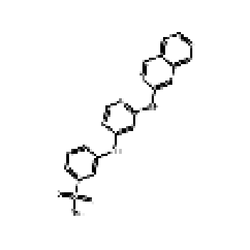 CNS(=O)(=O)c1cccc(Nc2cc(Nc3cc4ccccc4cn3)ncn2)c1